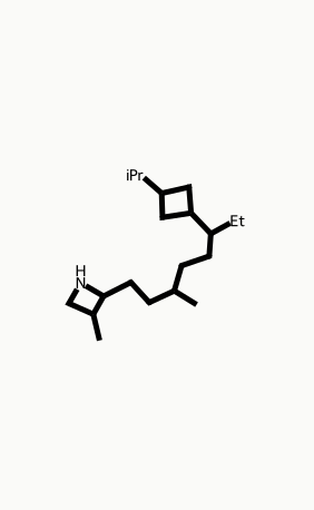 CCC(CCC(C)CCC1NCC1C)C1CC(C(C)C)C1